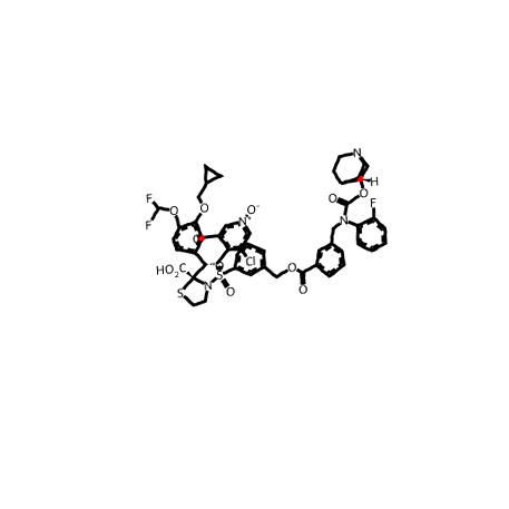 O=C(OCc1cccc(S(=O)(=O)N2CCS[C@]2(C(=O)O)[C@@H](Cc2c(Cl)c[n+]([O-])cc2Cl)c2ccc(OC(F)F)c(OCC3CC3)c2)c1)c1cccc(CN(C(=O)O[C@H]2CN3CCC2CC3)c2ccccc2F)c1